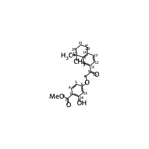 COC(=O)c1ccc(OCC(=O)c2ccc3c(c2)C(C)(C)CCS3)cc1O